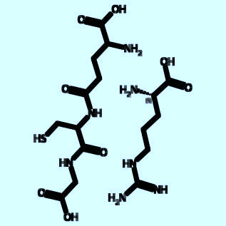 N=C(N)NCCC[C@H](N)C(=O)O.NC(CCC(=O)NC(CS)C(=O)NCC(=O)O)C(=O)O